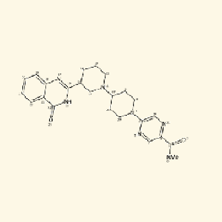 CNC(=O)c1cnc(N2CCC(N3CCCC(c4nc5ccccc5c(=O)[nH]4)C3)CC2)cn1